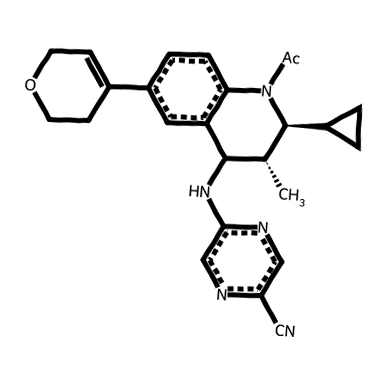 CC(=O)N1c2ccc(C3=CCOCC3)cc2C(Nc2cnc(C#N)cn2)[C@@H](C)[C@@H]1C1CC1